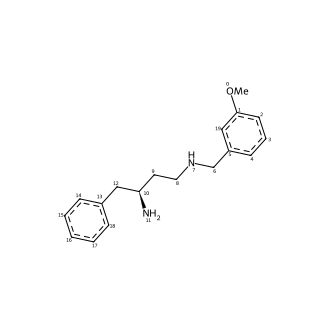 COc1cccc(CNCC[C@@H](N)Cc2ccccc2)c1